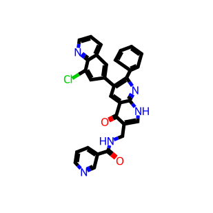 O=C(NCc1c[nH]c2nc(-c3ccccc3)c(-c3cc(Cl)c4ncccc4c3)cc2c1=O)c1cccnc1